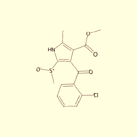 COC(=O)c1c(C)[nH]c([S+](C)[O-])c1C(=O)c1ccccc1Cl